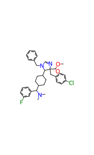 COC(=O)C1(Cc2ccc(Cl)cc2)N=CN(Cc2ccccc2)C1C1CCC(C(c2cccc(F)c2)N(C)C)CC1